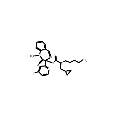 CCCCC[C@@H](CC1CC1)C(=O)NC1(c2cc(C)ccn2)N=Cc2ccccc2N(C)C1=O